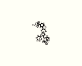 CCOS(=O)(=O)c1ccc(C)c(C2CCN(CC(Cn3ccnc3[N+](=O)[O-])OC3CCCCO3)CC2)c1